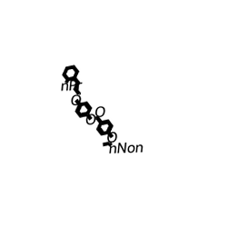 CCCCCCCCCC(C)Oc1ccc(C(=O)Oc2ccc(OCCCC3CCCCC3CCC)cc2)cc1